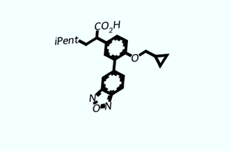 CCCC(C)CC(C(=O)O)c1ccc(OCC2CC2)c(-c2ccc3nonc3c2)c1